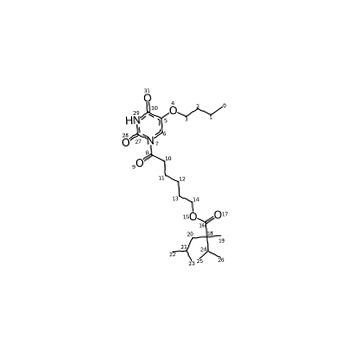 CCCCOc1cn(C(=O)CCCCCOC(=O)C(C)(CC(C)C)C(C)C)c(=O)[nH]c1=O